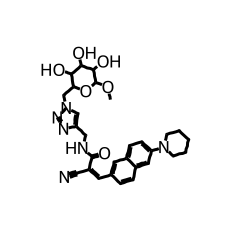 COC1OC(Cn2cc(CNC(=O)C(C#N)=Cc3ccc4cc(N5CCCCC5)ccc4c3)nn2)C(O)C(O)C1O